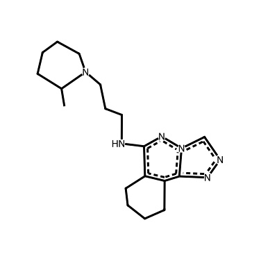 CC1CCCCN1CCCNc1nn2cnnc2c2c1CCCC2